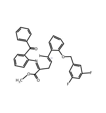 COC(=O)C(C/C=C(\I)c1ccccc1OCc1cc(F)cc(F)c1)=Nc1ccccc1C(=O)c1ccccc1